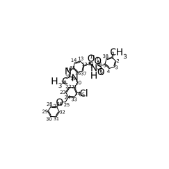 Cc1cccc(S(=O)(=O)NC(=O)c2ccc3nc(C)n(Cc4ccc(COc5ccccc5)cc4Cl)c3c2)c1